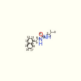 CCCCNC(=O)NCCc1cccc2ccccc12